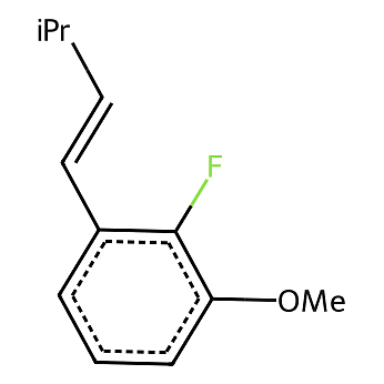 COc1cccc(C=CC(C)C)c1F